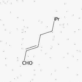 CC(C)CCC=C[C]=O